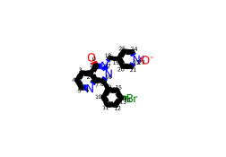 O=c1c2cccnc2c(-c2cccc(Br)c2)nn1Cc1cc[n+]([O-])cc1